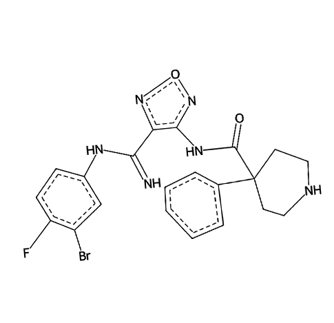 N=C(Nc1ccc(F)c(Br)c1)c1nonc1NC(=O)C1(c2ccccc2)CCNCC1